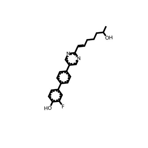 CC(O)CCC/C=C/c1ncc(-c2ccc(-c3ccc(O)c(F)c3)cc2)cn1